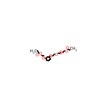 C=CC(=O)OCCOCCOCCOc1cccc(OCCOC(=O)C=C)c1